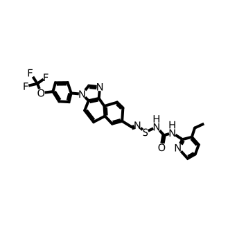 CCc1cccnc1NC(=O)NS/N=C/c1ccc2c(ccc3c2ncn3-c2ccc(OC(F)(F)F)cc2)c1